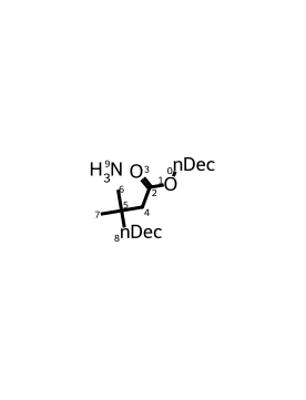 CCCCCCCCCCOC(=O)CC(C)(C)CCCCCCCCCC.N